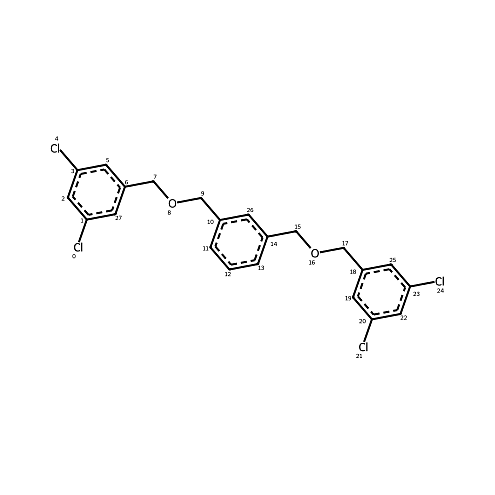 Clc1cc(Cl)cc(COCc2cccc(COCc3cc(Cl)cc(Cl)c3)c2)c1